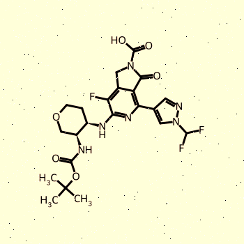 CC(C)(C)OC(=O)N[C@H]1COCC[C@H]1Nc1nc(-c2cnn(C(F)F)c2)c2c(c1F)CN(C(=O)O)C2=O